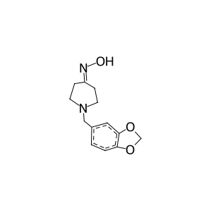 ON=C1CCN(Cc2ccc3c(c2)OCO3)CC1